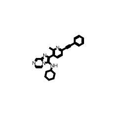 Cc1nc(C#Cc2ccccc2)ccc1-c1nc2cnccn2c1NC1CCCCC1